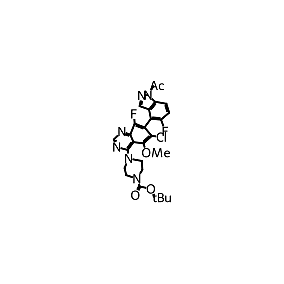 COc1c(Cl)c(-c2c(F)ccc3c2cnn3C(C)=O)c(F)c2ncnc(N3CCN(C(=O)OC(C)(C)C)CC3)c12